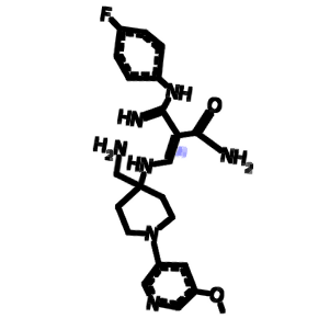 COc1cncc(N2CCC(CN)(N/C=C(\C(=N)Nc3ccc(F)cc3)C(N)=O)CC2)c1